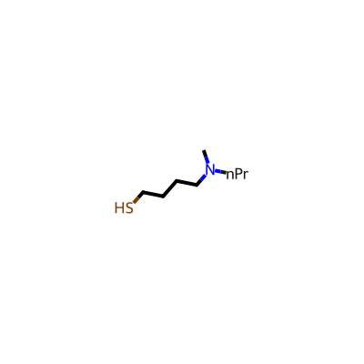 CCCN(C)CCCCS